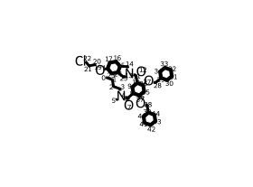 CCCCN(C)C(=O)c1cc(C(=O)N2Cc3ccc(OCCCl)cc3C2)c(OCc2ccccc2)cc1OCc1ccccc1